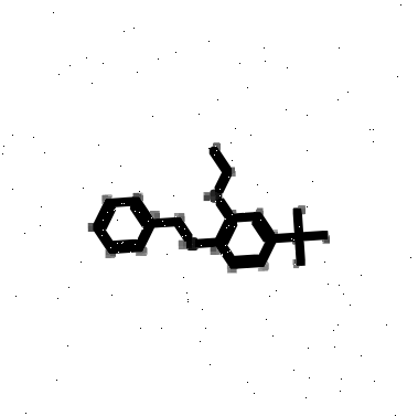 CCOc1cc(C(C)(C)C)ccc1OCc1ccccc1